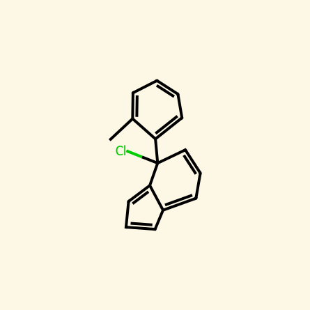 Cc1ccccc1C1(Cl)C=CC=C2C=CC=C21